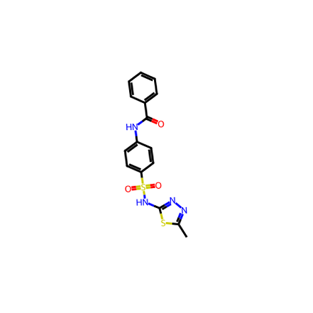 Cc1nnc(NS(=O)(=O)c2ccc(NC(=O)c3ccccc3)cc2)s1